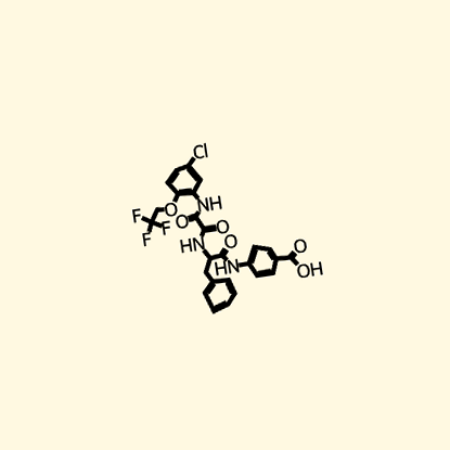 O=C(Nc1cc(Cl)ccc1OCC(F)(F)F)C(=O)NC(Cc1ccccc1)C(=O)Nc1ccc(C(=O)O)cc1